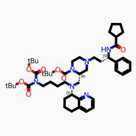 CC(C)(C)OC(=O)N(CCCCN(C[C@H]1CN(CC[C@H](NC(=O)C2CCCC2)c2ccccc2)CCN1C(=O)OC(C)(C)C)[C@H]1CCCc2cccnc21)C(=O)OC(C)(C)C